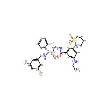 CCNc1cc(C(=O)N[C@@H](Cc2ccccc2)[C@H](O)CNCc2cc(Br)cc(Br)c2)cc(N2CCCCS2(=O)=O)c1